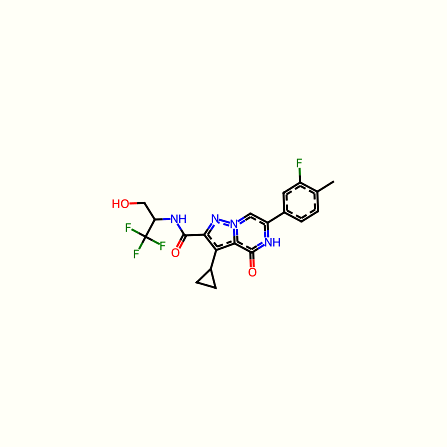 Cc1ccc(-c2cn3nc(C(=O)NC(CO)C(F)(F)F)c(C4CC4)c3c(=O)[nH]2)cc1F